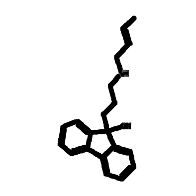 CC=CCNCCCC1(O)c2ccccc2-c2ccccc21